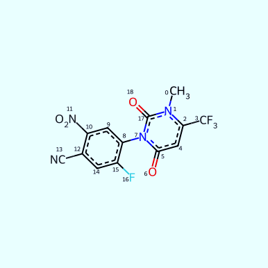 Cn1c(C(F)(F)F)cc(=O)n(-c2cc([N+](=O)[O-])c(C#N)cc2F)c1=O